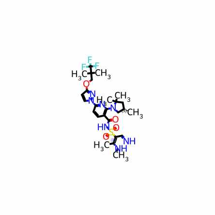 CN/C(C)=C(\C=N)S(=O)(=O)NC(=O)c1ccc(-n2ccc(OCC(C)(C)C(F)(F)F)n2)nc1N1C[C@@H](C)CC1(C)C